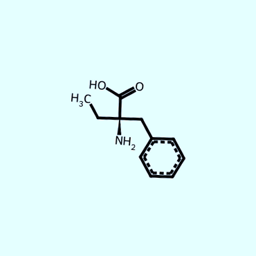 CC[C@@](N)(Cc1ccccc1)C(=O)O